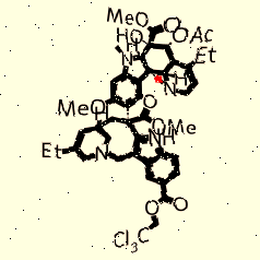 CCC1=C[C@H]2CN(C1)Cc1c([nH]c3ccc(C(=O)OCC(Cl)(Cl)Cl)cc13)[C@@](C(=O)OC)(c1cc3c(cc1OC)N(C)[C@H]1[C@@](O)(C(=O)OC)[C@H](OC(C)=O)C4C(CC)=CCN5CC[C@]31[C@H]45)C2